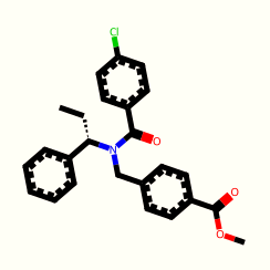 CC[C@@H](c1ccccc1)N(Cc1ccc(C(=O)OC)cc1)C(=O)c1ccc(Cl)cc1